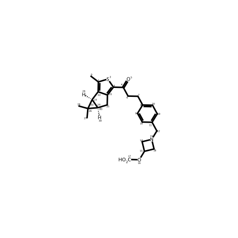 Cc1sc(C(=O)CCc2ccc(CN3CC(OC(=O)O)C3)cc2)c2c1[C@H]1[C@@H](C2)C1(C)C